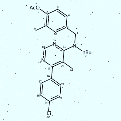 CCCCN(Cc1ccc(OC(C)=O)c(C)c1)c1ncnc(-c2ccc(Cl)cc2)c1C